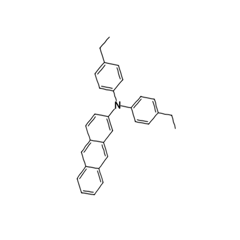 CCc1ccc(N(c2ccc(CC)cc2)c2ccc3cc4ccccc4cc3c2)cc1